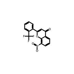 O=c1cc(-c2ccccc2C(F)(F)F)oc2c([N+](=O)[O-])cccc12